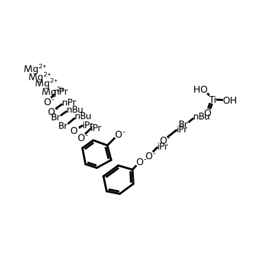 CC(C)[O-].CC(C)[O-].CC(C)[O-].CC(C)[O-].CCCCBr.CCCCBr.CCCCBr.CCC[O-].CCC[O-].[Mg+2].[Mg+2].[Mg+2].[Mg+2].[O-]c1ccccc1.[O-]c1ccccc1.[O]=[Ti]([OH])[OH]